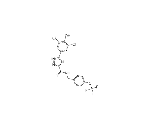 O=C(NCc1ccc(OC(F)(F)F)cc1)c1n[nH]c(-c2cc(Cl)c(O)c(Cl)c2)n1